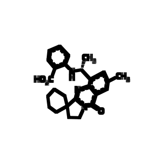 Cc1cc([C@@H](C)Nc2ccccc2C(=O)O)c2nc3n(c(=O)c2c1)CCC31CCCCC1